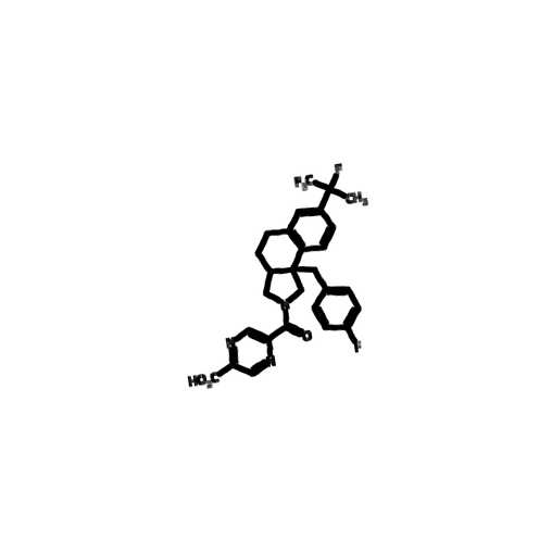 CC(F)(c1ccc2c(c1)CCC1CN(C(=O)c3cnc(C(=O)O)cn3)CC21Cc1ccc(F)cc1)C(F)(F)F